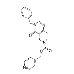 O=C(OCc1ccncc1)N1CCc2ncn(Cc3ccccc3)c(=O)c2C1